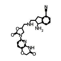 N#Cc1cccc2c1CC(CNCC1CN(c3ccc4c(n3)NC(=O)CO4)C(=O)O1)C2N